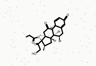 CCC(=O)O[C@@]1(C(=O)CO)[C@H](C)C[C@H]2[C@@H]3[C@H](Br)CC4=CC(=O)C=C[C@]4(C)[C@H]3C(=O)C[C@@]21C